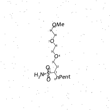 CCCCCC(CCOCCOCCOC)S(N)(=O)=O